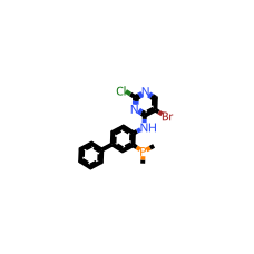 CP(C)c1cc(-c2ccccc2)ccc1Nc1nc(Cl)ncc1Br